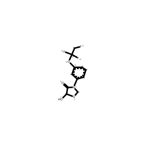 O=C1C(O)OCN1c1cccc(OC(F)(F)CF)c1